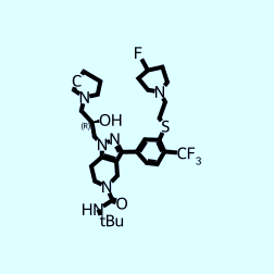 CC(C)(C)NC(=O)N1CCc2c(c(-c3ccc(C(F)(F)F)c(SCCN4CCC(F)CC4)c3)nn2C[C@H](O)CN2CCCCC2)C1